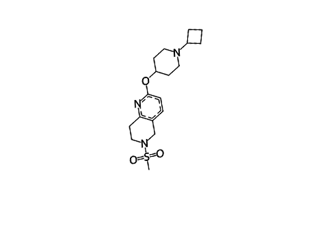 CS(=O)(=O)N1CCc2nc(OC3CCN(C4CCC4)CC3)ccc2C1